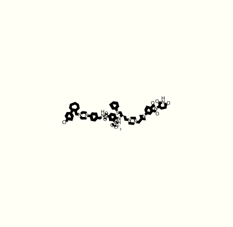 O=C1CCC(N2C(=O)c3ccc(N4CC(CN5CCN(CC[C@H](CSc6ccccc6)Nc6ccc(S(=O)(=O)NCc7ccc(N8CCN(CC9=C(c%10ccc(Cl)cc%10)CCCCC9)CC8)cc7)cc6S(=O)(=O)C(F)(F)F)CC5)C4)cc3C2=O)C(=O)N1